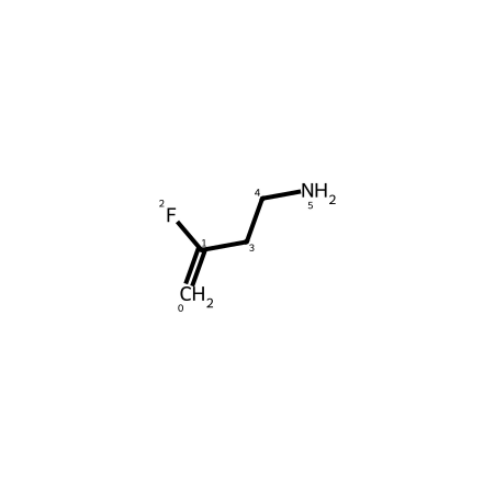 C=C(F)CCN